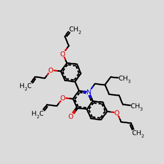 C=CCOc1ccc2c(=O)c(OCC=C)c(-c3ccc(OCC=C)c(OCC=C)c3)n(CC(CC)CCCC)c2c1